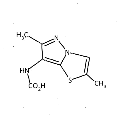 Cc1cn2nc(C)c(NC(=O)O)c2s1